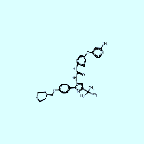 Cc1cc(Oc2ccc(NC(=O)Nc3cc(C(C)(C)C)nn3-c3ccc(OCC4CCOCC4)cc3)cc2)ccn1